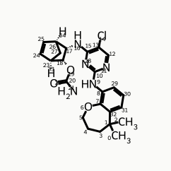 CC1(C)CCCOc2c(Nc3ncc(Cl)c(N[C@@H]4[C@H](OC(N)=O)[C@H]5C=C[C@@H]4C5)n3)cccc21